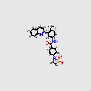 Cc1ccc(NC(=O)c2ccc(N3CCS3(=O)=O)cc2)cc1-c1ccc2ccccc2n1